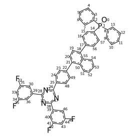 O=P(c1ccccc1)(c1ccccc1)c1ccc(-c2ccc(-c3ccc(-c4nc(-c5cc(F)cc(F)c5)nc(-c5cc(F)cc(F)c5)n4)cc3)c3ccccc23)cc1